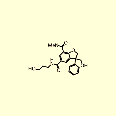 CNC(=O)c1cc(C(=O)NCCCO)cc2c1OCC2(CO)c1ccccc1